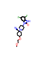 COCCOC1CCC(C#N)(N2CCC(n3c(=O)[nH]c4c(F)cc(F)cc43)CC2)CC1